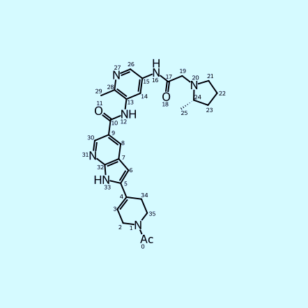 CC(=O)N1CC=C(c2cc3cc(C(=O)Nc4cc(NC(=O)CN5CCC[C@@H]5C)cnc4C)cnc3[nH]2)CC1